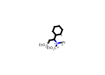 CCOC(=O)CC(C1CCCCC1)N(C(=O)OCC)C(C)C